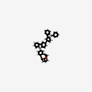 c1ccc(-n2c3ccccc3c3cc(-c4ccc5c(c4)c4ccccc4n5-c4ccc5c(c4)C4CC6CC7CC5CC76C4)ccc32)cc1